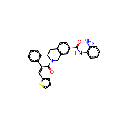 Nc1ccccc1NC(=O)c1ccc2c(c1)CN(C(=O)/C(=C\c1cccs1)c1ccccc1)CC2